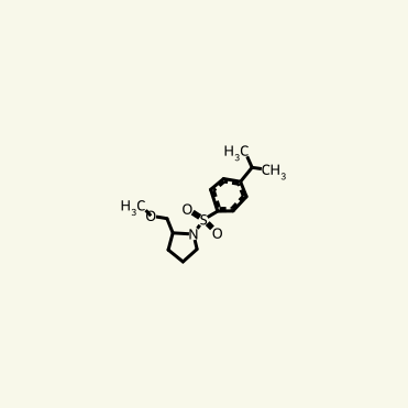 COCC1CCCN1S(=O)(=O)c1ccc(C(C)C)cc1